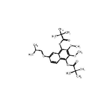 COc1c(OC)c(OC(=O)C(C)(C)C)c2cc(OCC(C)C)ccc2c1OC(=O)C(C)(C)C